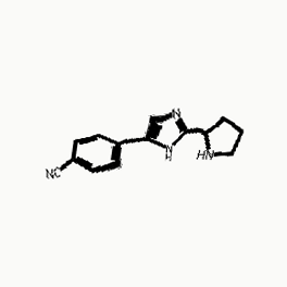 N#Cc1ccc(-c2cnc(C3CCCN3)[nH]2)cc1